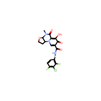 CN1C(=O)c2c(O)c(=O)c(C(=O)NCc3ccc(F)c(Cl)c3F)cn2C2CCOC21